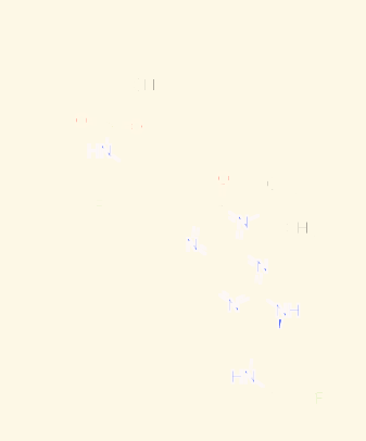 CC(C)n1c(=O)c(-c2ccc(NS(=O)(=O)[C@@H](C)c3ccccc3)c(F)c2)nc2cnc(N[C@@H]3CNC[C@@H](F)C3)nc21